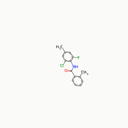 Cc1cc(F)c(NC(=O)c2ccccc2C)c(Cl)c1